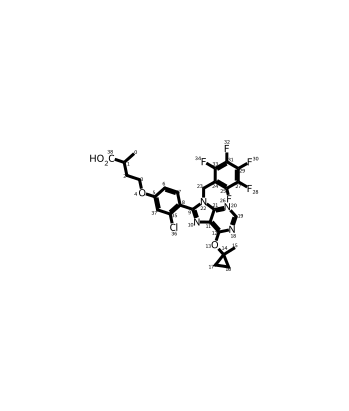 CC(CCOc1ccc(-c2nc3c(OC4(C)CC4)ncnc3n2Cc2c(F)c(F)c(F)c(F)c2F)c(Cl)c1)C(=O)O